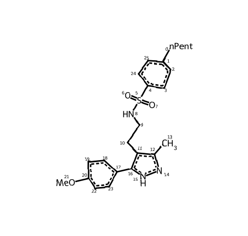 CCCCCc1ccc(S(=O)(=O)NCCc2c(C)n[nH]c2-c2ccc(OC)cc2)cc1